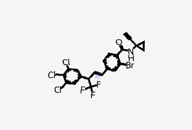 C#CC1(NC(=O)c2ccc(/C=C/C(c3cc(Cl)c(Cl)c(Cl)c3)C(F)(F)F)cc2Br)CC1